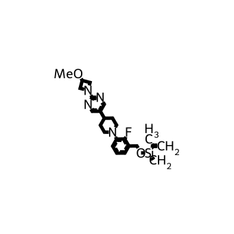 C=C(C)[Si](=C)OCc1cccc(N2CCC(c3cnc(N4CC(OC)C4)nc3)CC2)c1F